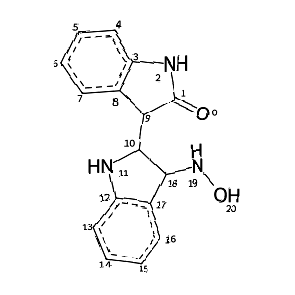 O=C1Nc2ccccc2C1C1Nc2ccccc2C1NO